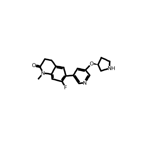 CN1C(=O)CCc2cc(-c3cncc(O[C@H]4CCNC4)c3)c(F)cc21